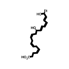 CC[C@H](O)/C=C/C=C\C=C\[C@@H](O)C/C=C\C/C=C\C/C=C\CCC(=O)O